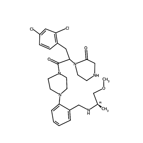 COC[C@@H](C)NCc1ccccc1N1CCN(C(=O)C(Cc2ccc(Cl)cc2Cl)N2CCNCC2=O)CC1